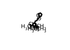 CC(C)(C)c1cc(CCCOC2CCCCO2)cc(C(C)(C)C)c1O